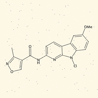 COc1ccc2c(c1)c1ccc(NC(=O)c3conc3C)nc1n2Cl